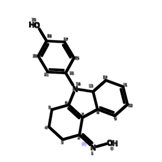 O/N=C1/CCCC2=C1C1=CC=CCC1N2c1ccc(O)cc1